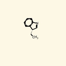 CC[C@H]1C=Nc2ccccc21